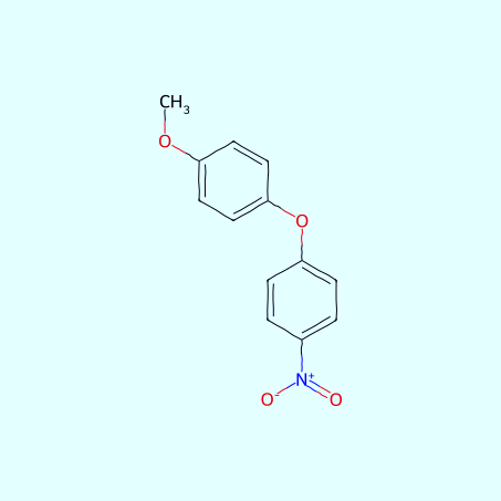 COc1ccc(Oc2ccc([N+](=O)[O-])cc2)cc1